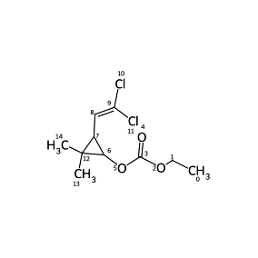 CCOC(=O)OC1C(C=C(Cl)Cl)C1(C)C